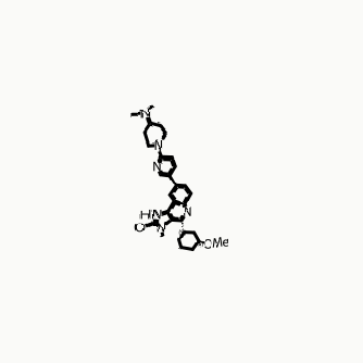 CO[C@H]1CCC[C@H](c2nc3ccc(-c4ccc(N5CCC(N(C)C)CC5)nc4)cc3c3[nH]c(=O)n(C)c23)C1